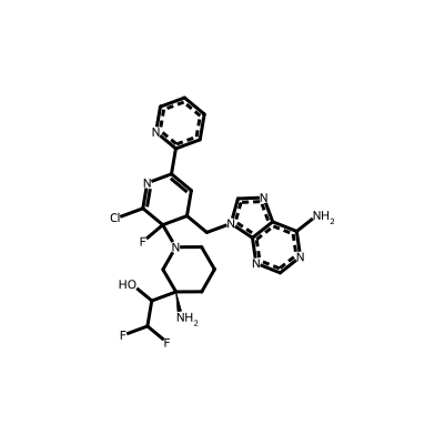 Nc1ncnc2c1ncn2CC1C=C(c2ccccn2)N=C(Cl)C1(F)N1CCC[C@](N)(C(O)C(F)F)C1